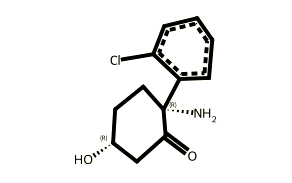 N[C@@]1(c2ccccc2Cl)CC[C@@H](O)CC1=O